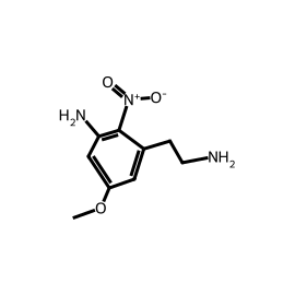 COc1cc(N)c([N+](=O)[O-])c(CCN)c1